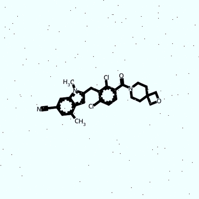 Cc1cc(C#N)cc2c1cc(Cc1c(Cl)ccc(C(=O)N3CCC4(CC3)COC4)c1Cl)n2C